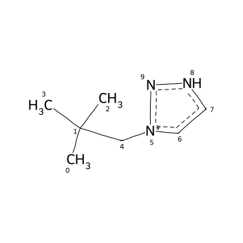 CC(C)(C)C[n+]1cc[nH]n1